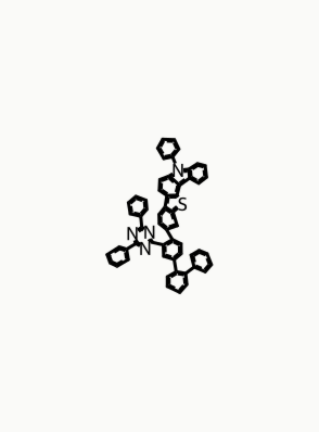 c1ccc(-c2nc(-c3ccccc3)nc(-c3cc(-c4ccccc4-c4ccccc4)ccc3-c3ccc4c(c3)sc3c4ccc4c3c3ccccc3n4-c3ccccc3)n2)cc1